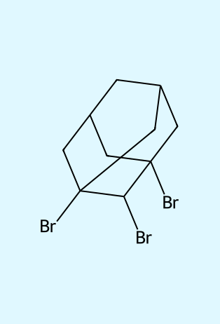 BrC1C2(Br)CC3CC(C2)CC1(Br)C3